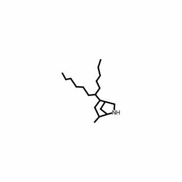 CCCCCCC(CCCCC)C1CC(C)C2CC1CN2